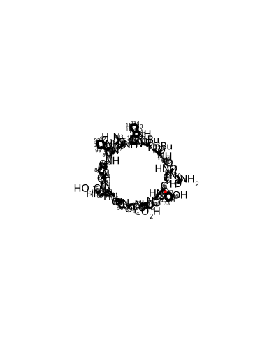 CCCC[C@H]1C(=O)N(C)[C@@H](CCCC)C(=O)N[C@@H](C)C(=O)N[C@H](C(=O)NCC(N)=O)CSCC(=O)N[C@@H](Cc2ccc(O)cc2)C(=O)N2CCC[C@H]2C(=O)NC(CC(=O)O)C(=O)N2CCC[C@H]2C(=O)N[C@@H](Cc2c[nH]cn2)C(=O)N[C@@H](CCC(=O)O)C(=O)N2CCC[C@H]2C(=O)N[C@@H](Cc2c[nH]c3ccccc23)C(=O)N[C@@H](CCN)C(=O)N[C@@H](Cc2c[nH]c3ccccc23)C(=O)N1C